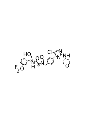 C[C@H](C(=O)N[C@H](CO)c1cccc(OC(F)F)c1)N1Cc2ccc(-c3nc(NC4CCOCC4)ncc3Cl)cc2C1=O